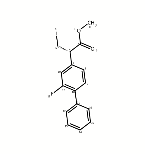 COC(=O)[C@@H](CI)c1ccc(-c2ccccc2)c(F)c1